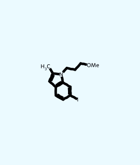 COCCCn1c(C)cc2ccc(I)cc21